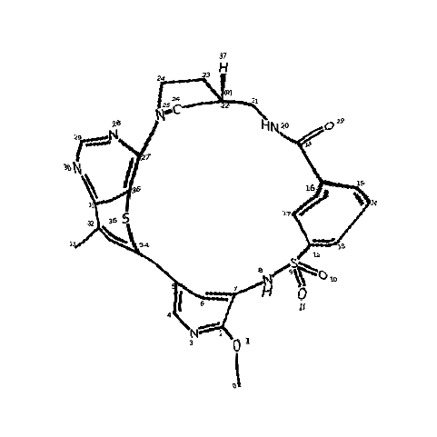 COc1ncc2cc1NS(=O)(=O)c1cccc(c1)C(=O)NC[C@H]1CCN(C1)c1ncnc3c(C)c-2sc13